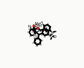 COc1ccc(N(C)S(C)(=O)=O)cc1CN[C@H]1[C@H]2CCN(C[C@@H]2C(=O)O)[C@H]1C(c1ccccc1)c1ccccc1